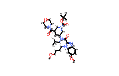 COCCCCn1c(C(=O)N(CC(C)C)[C@H]2CC(C(=O)N3CCOCC3)CN(C(=O)OC(C)(C)C)C2)nc2ccc(OC)cc21